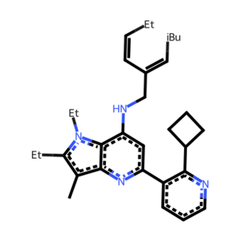 CC/C=C\C(=C/C(C)CC)CNc1cc(-c2cccnc2C2CCC2)nc2c(C)c(CC)n(CC)c12